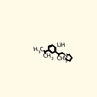 C=C(C)c1cccc(C(C)CN2CCCC2)c1.[LiH]